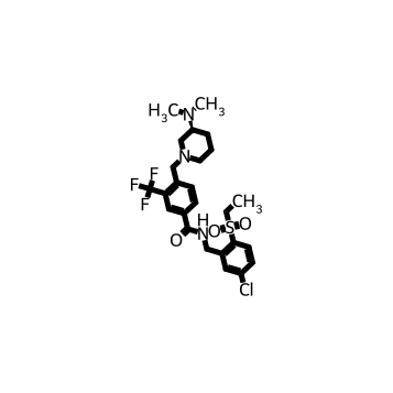 CCS(=O)(=O)c1ccc(Cl)cc1CNC(=O)c1ccc(CN2CCC[C@H](N(C)C)C2)c(C(F)(F)F)c1